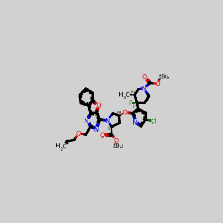 C=CCOCc1nc(N2C[C@@H](Oc3ncc(Cl)cc3[C@@]3(F)CCN(C(=O)OC(C)(C)C)C[C@@H]3C)C[C@H]2C(=O)OC(C)(C)C)c2oc3ccccc3c2n1